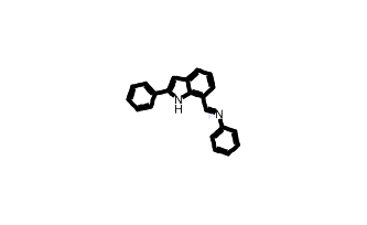 C(=N\c1ccccc1)/c1cccc2cc(-c3ccccc3)[nH]c12